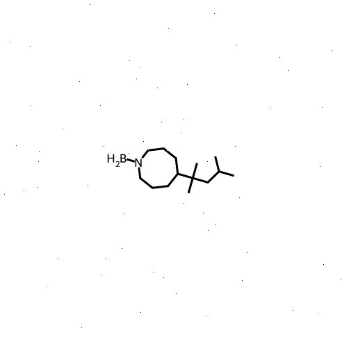 BN1CCCC(C(C)(C)CC(C)C)CCC1